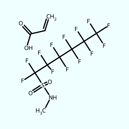 C=CC(=O)O.CNS(=O)(=O)C(F)(F)C(F)(F)C(F)(F)C(F)(F)C(F)(F)C(F)(F)F